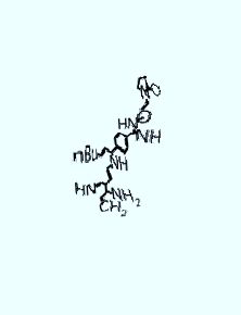 C=CC(N)C(C=N)/C=C/NC(/C=C/CCCC)c1ccc(C(=N)NOCCN2CCCC2=O)cc1